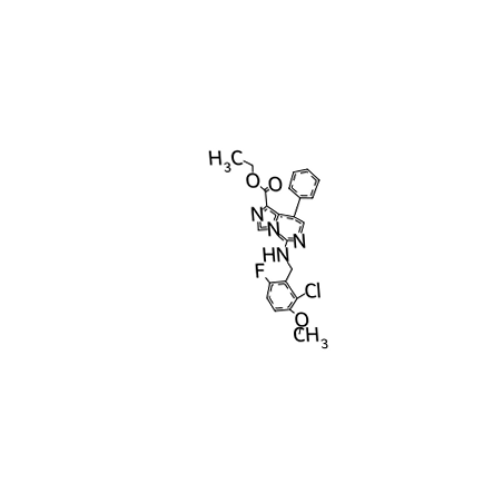 CCOC(=O)c1ncn2c(NCc3c(F)ccc(OC)c3Cl)ncc(-c3ccccc3)c12